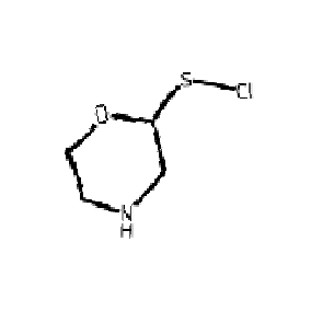 ClSC1CNCCO1